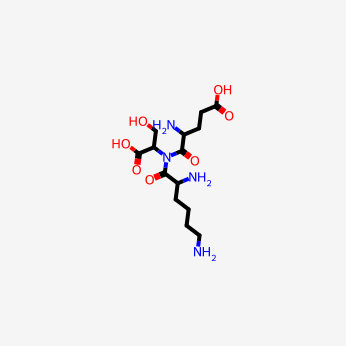 NCCCCC(N)C(=O)N(C(=O)C(N)CCC(=O)O)C(CO)C(=O)O